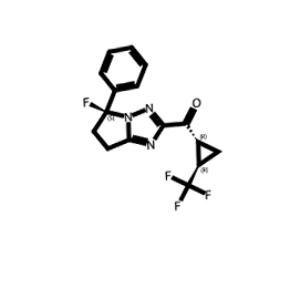 O=C(c1nc2n(n1)[C@@](F)(c1ccccc1)CC2)[C@@H]1C[C@H]1C(F)(F)F